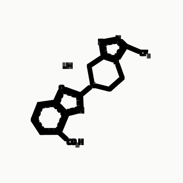 O=C(O)c1cccc2oc(N3CCn4c(nnc4C(F)(F)F)C3)nc12.[LiH]